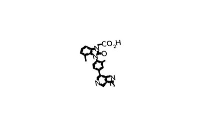 Cc1cc(-c2cncc3c2cnn3C)ccc1-n1c(=O)n(CC(=O)O)c2cccc(C)c21